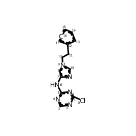 Clc1ncnc(Nc2cn(CCc3ccccc3)cn2)n1